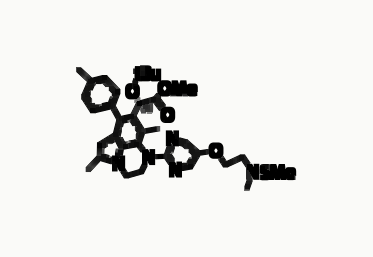 COC(=O)[C@@H](OC(C)(C)C)c1c(C)c2c3c(cc(C)n3CCN2c2ncc(OCCN(C)SC)cn2)c1-c1ccc(C)cc1